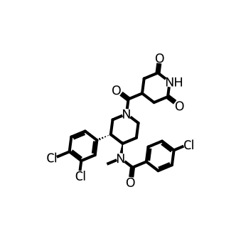 CN(C(=O)c1ccc(Cl)cc1)[C@@H]1CCN(C(=O)C2CC(=O)NC(=O)C2)C[C@H]1c1ccc(Cl)c(Cl)c1